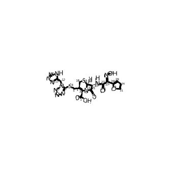 O=C(O)C1=C(CSc2nnnn2Cc2nnn[nH]2)CS[C@H]2[C@H](NC(=O)C(=NO)c3ccco3)C(=O)N12